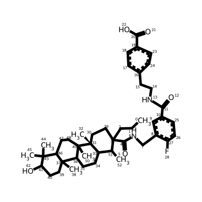 CCCC1(C(=O)NCc2cc(C(=O)NCCc3ccc(C(=O)O)cc3)ccc2F)CC[C@]2(C)C(CCC3C4(C)CCC(O)C(C)(C)C4CCC32C)C1C